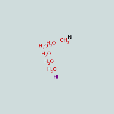 I.O.O.O.O.O.O.[Ni]